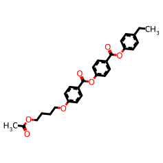 CCc1ccc(OC(=O)c2ccc(OC(=O)c3ccc(OCCCCOC(C)=O)cc3)cc2)cc1